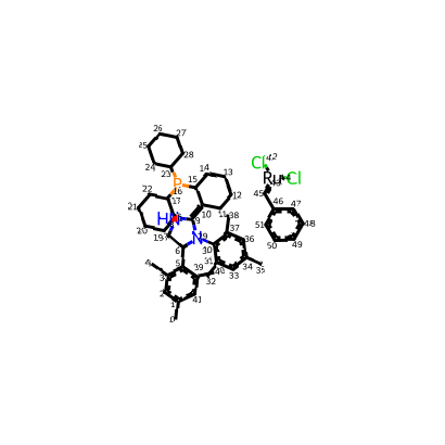 Cc1cc(C)c(C2CNC(=C3CCCCC3P(C3CCCCC3)C3CCCCC3)N2c2c(C)cc(C)cc2C)c(C)c1.[Cl][Ru]([Cl])=[CH]c1ccccc1